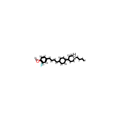 CCCC[SiH]1CCC(C2CCC(CCCCc3ccc(OC)c(F)c3)CC2)CC1